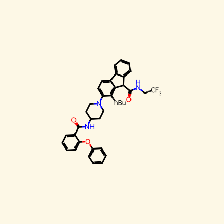 CCCCc1c(N2CCC(NC(=O)c3ccccc3Oc3ccccc3)CC2)ccc2c1C(C(=O)NCC(F)(F)F)c1ccccc1-2